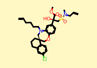 C=CCCCCN1C[C@@]2(CCCc3cc(Cl)ccc32)COc2ccc([C@@](O)(CS(=O)(=O)N(C)CC=C)C(=O)OC)cc21